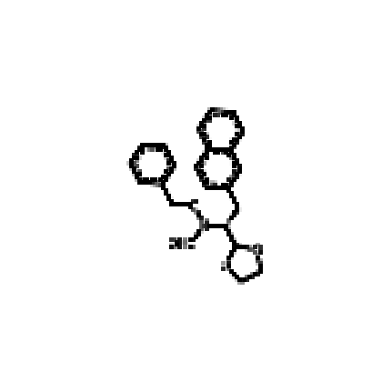 O=CN(OCc1ccccc1)[C@@H](Cc1ccc2ccccc2c1)C1OCCO1